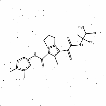 Cc1c(C(=O)C(=O)NC(C)(C(N)O)C(F)(F)F)c2n(c1C(=O)Nc1ccc(F)c(F)c1)CCC2